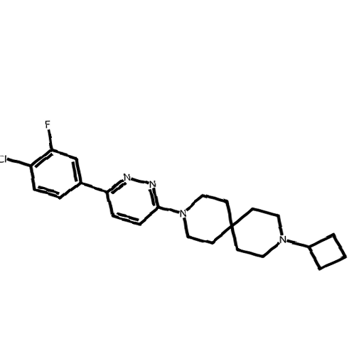 Fc1cc(-c2ccc(N3CCC4(CC3)CCN(C3CCC3)CC4)nn2)ccc1Cl